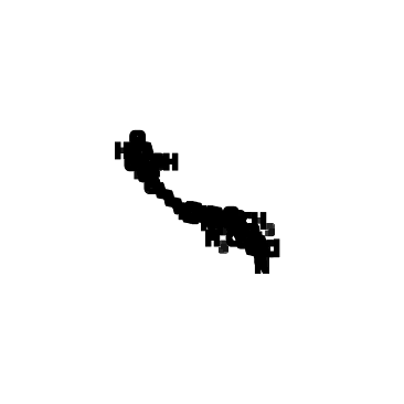 CC1(C)[C@H](NC(=O)c2ccc(N3CCN(CCCCCCOC4=CC(O)N(C5CCC(=O)NC5=O)N=C4)CC3)nc2)C(C)(C)[C@H]1Oc1ccc(C#N)c(Cl)c1